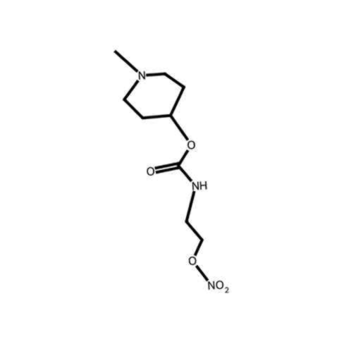 CN1CCC(OC(=O)NCCO[N+](=O)[O-])CC1